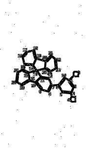 Clc1cc(Cl)cc(-c2ccc3c(c2)C2(c4ccccc4-c4ccccc42)c2ccccc2-3)c1